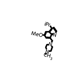 COc1cc(CN2CCN(C)CC2)c2nccc(C(C)C)c2c1